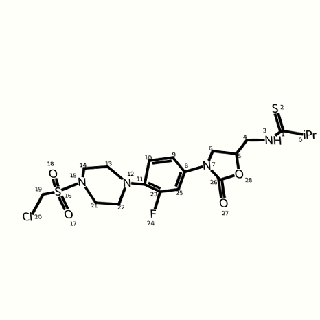 CC(C)C(=S)NCC1CN(c2ccc(N3CCN(S(=O)(=O)CCl)CC3)c(F)c2)C(=O)O1